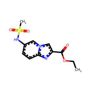 CCOC(=O)c1cn2cc(NS(C)(=O)=O)ccc2n1